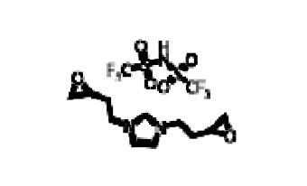 C1=CN(CCC2CO2)CN1CCC1CO1.O=S(=O)(NS(=O)(=O)C(F)(F)F)C(F)(F)F